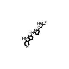 O[C@H](CF)COc1cccc(Nc2ccc3c(n2)[nH]c2ccncc23)n1